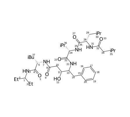 CCC(CC)NC(=O)[C@@H](NC(=O)CC(O)C(Cc1ccccc1)NC(=O)[C@@H](NC(=O)[C@H](CC(C)C)NC(=O)CC(C)C)C(C)C)[C@@H](C)CC